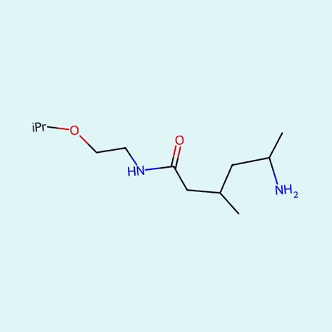 CC(N)CC(C)CC(=O)NCCOC(C)C